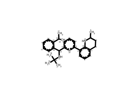 CC1CCc2cccc(-c3cccc(C(NC(C)(C)C)c4ccccc4C(C)C)n3)c2N1